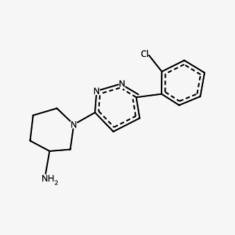 NC1CCCN(c2ccc(-c3ccccc3Cl)nn2)C1